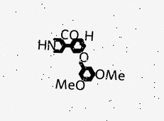 COc1cc(COc2cccc(C3=C(C(=O)O)CNCC3)c2)cc(OC)c1